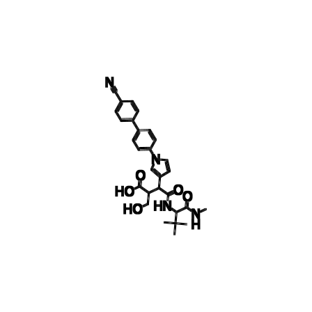 CNC(=O)C(NC(=O)C(c1ccn(-c2ccc(-c3ccc(C#N)cc3)cc2)c1)C(CO)C(=O)O)C(C)(C)C